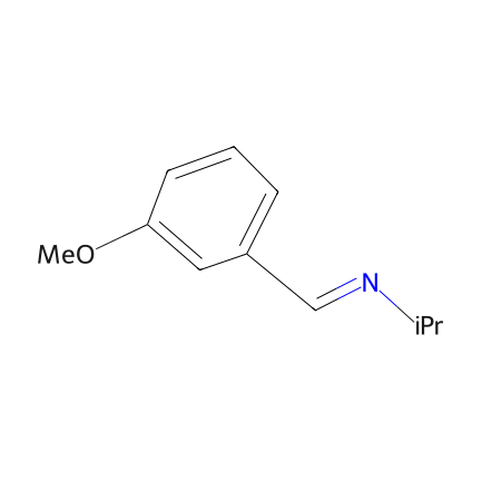 COc1cccc(/C=N/C(C)C)c1